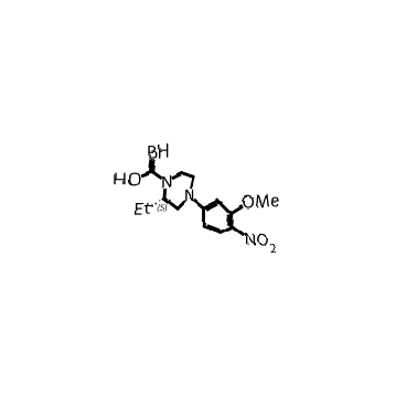 B=C(O)N1CCN(c2ccc([N+](=O)[O-])c(OC)c2)C[C@@H]1CC